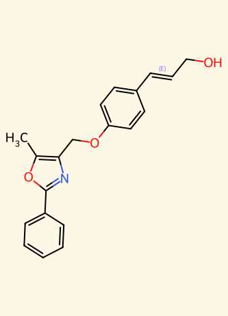 Cc1oc(-c2ccccc2)nc1COc1ccc(/C=C/CO)cc1